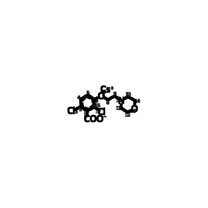 O=C([O-])c1c(Cl)ccc(OCCN2CCOCC2)c1Cl.[Cs+]